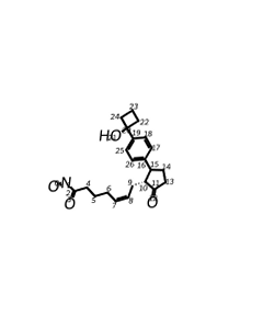 O=NC(=O)CCC/C=C\C[C@H]1C(=O)CCC1c1ccc(C2(O)CCC2)cc1